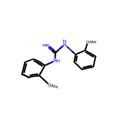 COc1ccccc1NC(=N)Nc1ccccc1OC